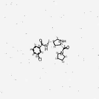 O=C(NC[C@@H]1CN[C@H](C(=O)N2CCCC2)C1)c1cccc(Cl)c1